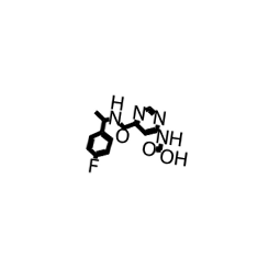 CC(NC(=O)c1cc(NC(=O)O)ncn1)c1ccc(F)cc1